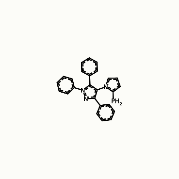 Pc1cccn1-c1c(-c2ccccc2)nn(-c2ccccc2)c1-c1ccccc1